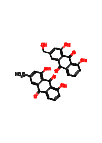 O=C(O)c1cc(O)c2c(c1)C(=O)c1cccc(O)c1C2=O.O=C1c2cccc(O)c2C(=O)c2c(O)cc(CO)cc21